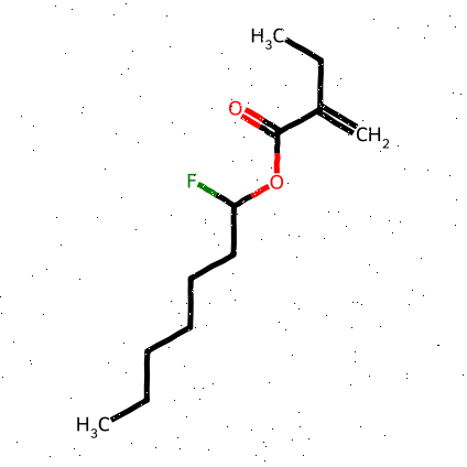 C=C(CC)C(=O)OC(F)CCCCCC